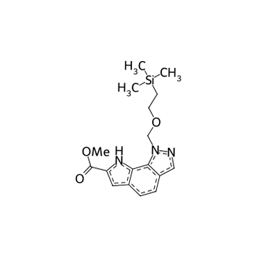 COC(=O)c1cc2ccc3cnn(COCC[Si](C)(C)C)c3c2[nH]1